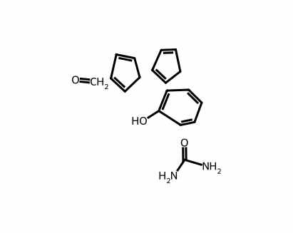 C1=CCC=C1.C1=CCC=C1.C=O.NC(N)=O.Oc1ccccc1